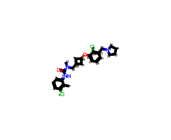 Cc1c(Cl)cccc1NC(=O)N(C)CC1CC(Oc2cccc(CN3CCCC3)c2Cl)C1